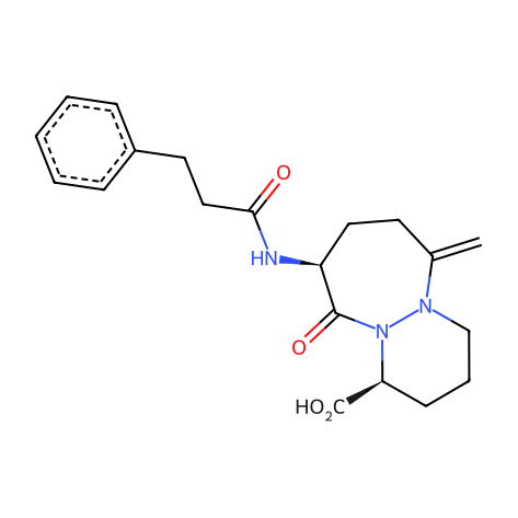 C=C1CC[C@H](NC(=O)CCc2ccccc2)C(=O)N2[C@H](C(=O)O)CCCN12